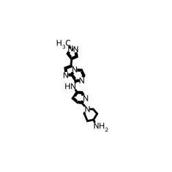 Cn1cc(-c2cnc3c(Nc4ccc(N5CCC(N)CC5)nc4)nccn23)cn1